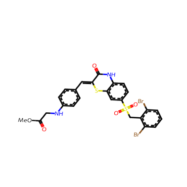 COC(=O)CNc1ccc(/C=C2\Sc3cc(S(=O)(=O)Cc4c(Br)cccc4Br)ccc3NC2=O)cc1